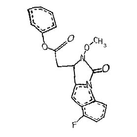 CON1C(=O)n2c(cc3c(F)cccc32)C1CC(=O)Oc1ccccc1